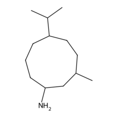 CC1CCC(C(C)C)CCCC(N)C1